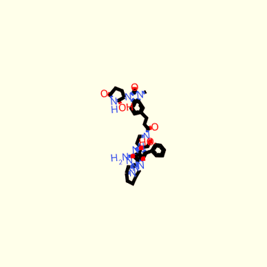 Cn1c(=O)n(C2CCC(=O)NC2O)c2ccc(CCC(=O)N3CCC(c4cnc(N5C6CCC5CN(c5cc(-c7ccccc7O)nnc5N)C6)nc4)CC3)cc21